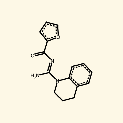 NC(=NC(=O)c1ccco1)N1CCCc2ccccc21